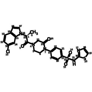 C[C@H](C(=O)N1CCN(c2ccc(S(=O)(=O)Nc3nccs3)cc2)C(=O)C1)n1ccc2ccc(Cl)cc21